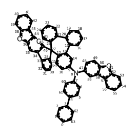 c1ccc(-c2ccc(N(c3ccc4c(c3)-c3ccccc3-c3ccccc3C43c4ccccc4-c4cc5oc6ccccc6c5cc43)c3ccc4oc5ccccc5c4c3)cc2)cc1